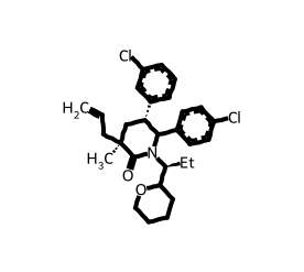 C=CC[C@@]1(C)C[C@H](c2cccc(Cl)c2)C(c2ccc(Cl)cc2)N([C@@H](CC)C2CCCCO2)C1=O